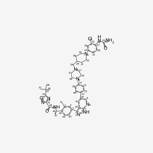 Cc1cc(-c2n[nH]c3ncc(-c4ccc(N5CCN(CC6CCN(c7ccc(NC(N)=O)c(Cl)c7)CC6)CC5)cc4)cc23)ccc1[C@@H](C)NC(=O)c1noc(C(C)(C)C)n1